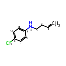 C=CCCNc1ccc(Cl)cc1